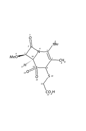 CO[C@H]1C(=O)N2C(C(C)(C)C)=C(C)C(SCC(=O)O)S(=O)(=O)[C@@H]12